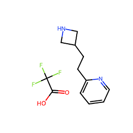 O=C(O)C(F)(F)F.c1ccc(CCC2CNC2)nc1